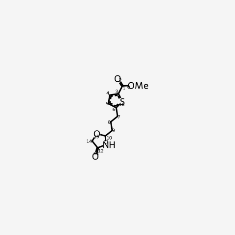 COC(=O)c1ccc(CCCC2NC(=O)CO2)s1